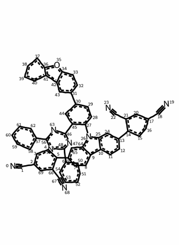 N#Cc1ccc(-c2ccc3c4ccc(-c5ccc(C#N)cc5C#N)cc4n(-c4ccc(-c5ccc6oc7ccccc7c6c5)cc4-c4nc(-c5ccccc5)nc(-c5ccccc5)n4)c3c2)c(C#N)c1